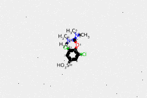 CN(C)C(Oc1c(Cl)cc(S(=O)(=O)O)cc1Cl)=[N+](C)C